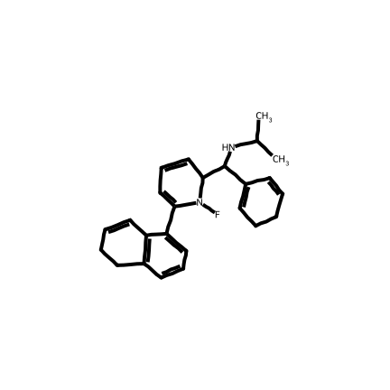 CC(C)NC(C1=CCCC=C1)C1C=CC=C(c2cccc3c2C=CCC3)N1F